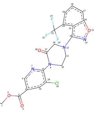 CCOC(=O)c1cnc(N2CCN(c3noc4cccc(C(F)(F)F)c34)CC2=O)c(Cl)c1